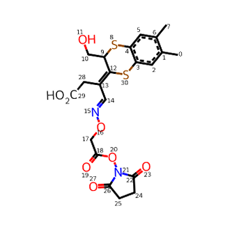 Cc1cc2c(cc1C)SC(CO)/C(=C(/C=N/OCC(=O)ON1C(=O)CCC1=O)CC(=O)O)S2